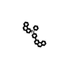 c1ccc(N(c2ccc(-c3ccc4ccc5ccccc5c4c3)cc2)c2ccc3ccc4ccccc4c3c2)cc1